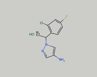 CC(c1ccc(F)cc1Cl)n1cc(N)cn1.Cl